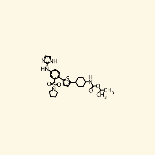 CC(C)OC(=O)NC1CCC(c2ccc(-c3ccc(Nc4ncc[nH]4)cc3S(=O)(=O)N3CCCC3)s2)CC1